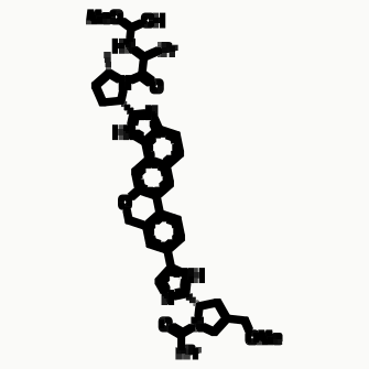 CCCC(=O)N1CC(COC)C[C@H]1c1ncc(-c2ccc3c(c2)COc2cc4c(ccc5nc([C@@H]6CC[C@H](C)N6C(=O)C(NC(O)OC)C(C)C)[nH]c54)cc2-3)[nH]1